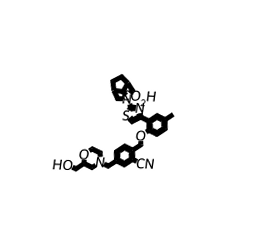 Cc1ccc(OCc2ccc(CN3CCOC(CO)C3)cc2C#N)c(-c2csc(N3CC4CCC(C3)C4C(=O)O)n2)c1